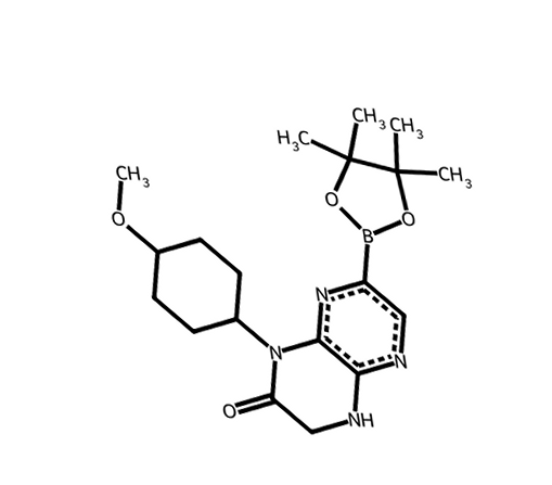 COC1CCC(N2C(=O)CNc3ncc(B4OC(C)(C)C(C)(C)O4)nc32)CC1